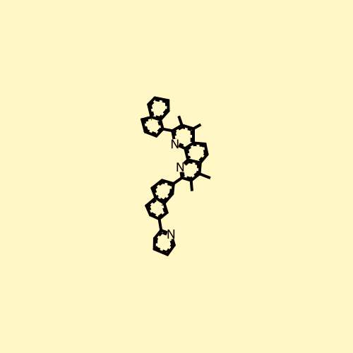 Cc1c(-c2ccc3ccc(-c4ccccn4)cc3c2)nc2c(ccc3c(C)c(C)c(-c4cccc5ccccc45)nc32)c1C